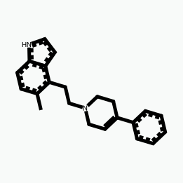 Cc1ccc2[nH]ccc2c1CCN1CC=C(c2ccccc2)CC1